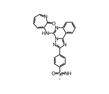 C[S@](=N)(=O)c1ccc(-c2nc3c4ccccc4nc(Nc4ccccnc4=O)n3n2)cc1